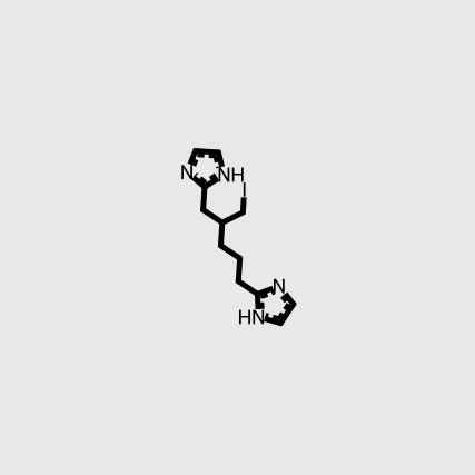 ICC(CCCc1ncc[nH]1)Cc1ncc[nH]1